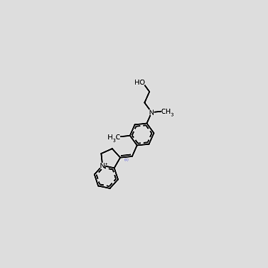 Cc1cc(N(C)CCO)ccc1/C=C1\CC[n+]2ccccc21